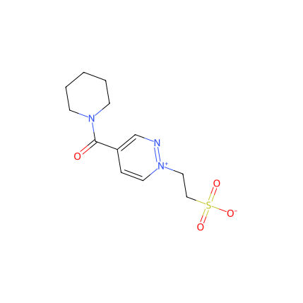 O=C(c1cc[n+](CCS(=O)(=O)[O-])nc1)N1CCCCC1